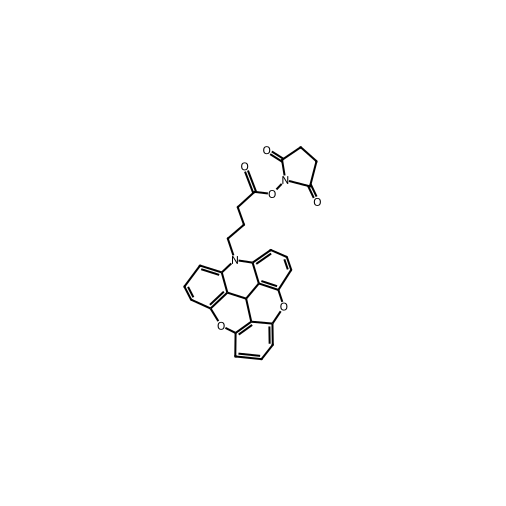 O=C(CCCN1c2cccc3c2C2c4c(cccc4Oc4cccc1c42)O3)ON1C(=O)CCC1=O